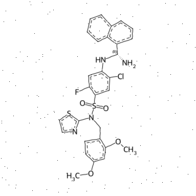 COc1ccc(CN(c2nccs2)S(=O)(=O)c2cc(Cl)c(N[C@@H](N)c3cccc4ccccc34)cc2F)c(OC)c1